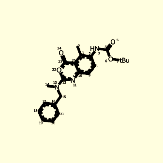 Cc1c(NC(=O)OC(C)(C)C)ccc2nc(N(C)Cc3ccccc3)oc(=O)c12